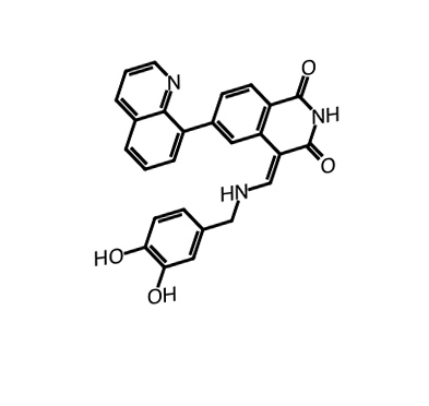 O=C1NC(=O)c2ccc(-c3cccc4cccnc34)cc2/C1=C\NCc1ccc(O)c(O)c1